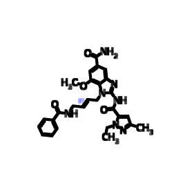 CCn1nc(C)cc1C(=O)Nc1nc2cc(C(N)=O)cc(OC)c2n1C/C=C/CNC(=O)c1ccccc1